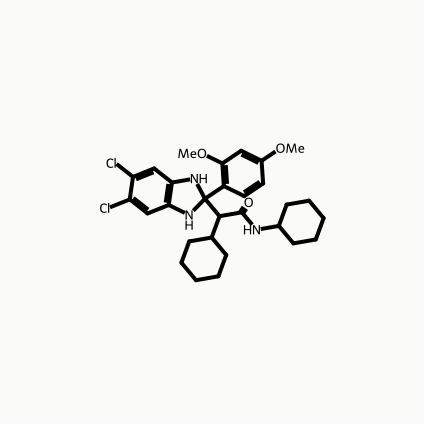 COc1ccc(C2(C(C(=O)NC3CCCCC3)C3CCCCC3)Nc3cc(Cl)c(Cl)cc3N2)c(OC)c1